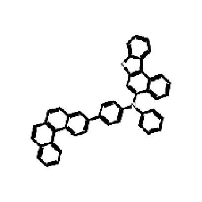 c1ccc(N(c2ccc(-c3ccc4c(ccc5ccc6ccccc6c54)c3)cc2)c2cc3sc4ccccc4c3c3ccccc23)cc1